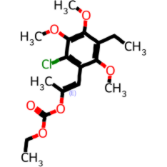 CCOC(=O)O/C(C)=C/c1c(Cl)c(OC)c(OC)c(CC)c1OC